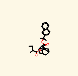 CCC(C)C(=O)OC1C2CC3CC1CC(C2)C3C(=O)OC(C)(C)c1ccc2ccccc2c1